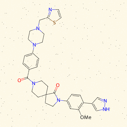 COc1cc(N2CCC3(CCN(C(=O)c4ccc(N5CCN(Cc6nccs6)CC5)cc4)CC3)C2=O)ccc1-c1cn[nH]c1